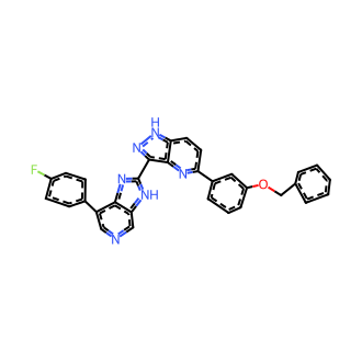 Fc1ccc(-c2cncc3[nH]c(-c4n[nH]c5ccc(-c6cccc(OCc7ccccc7)c6)nc45)nc23)cc1